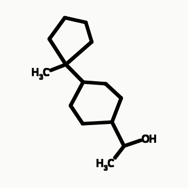 CC(O)C1CCC(C2(C)CCCC2)CC1